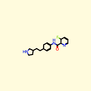 O=C(NC1=CCC(CCC2CCNC2)C=C1)C1N=CC=CC1F